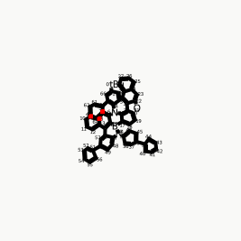 CC(C)(C)c1ccc(N2c3cc4ccccc4c4c3B(c3ccc5oc6cc7ccccc7cc6c5c32)N(c2ccc(-c3ccccc3)cc2)c2ccc(-c3ccccc3)cc2-4)c(-c2ccccc2)c1